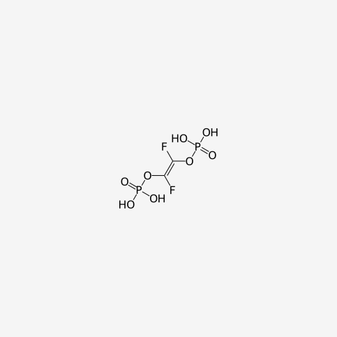 O=P(O)(O)O/C(F)=C(\F)OP(=O)(O)O